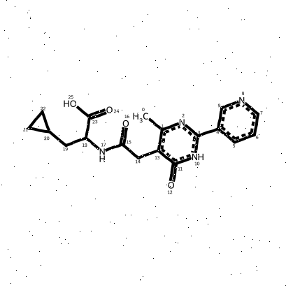 Cc1nc(-c2cccnc2)[nH]c(=O)c1CC(=O)NC(CC1CC1)C(=O)O